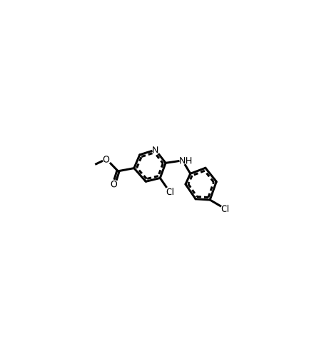 COC(=O)c1cnc(Nc2ccc(Cl)cc2)c(Cl)c1